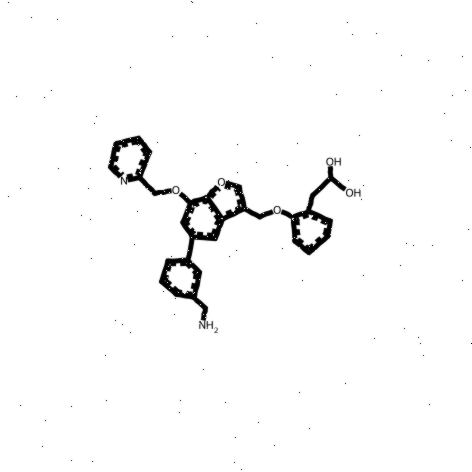 NCc1cccc(-c2cc(OCc3ccccn3)c3occ(COc4ccccc4CC(O)O)c3c2)c1